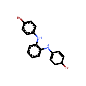 Brc1ccc(Nc2ccccc2NC2=CCC(Br)C=C2)cc1